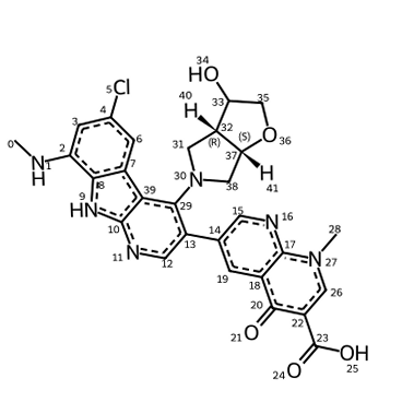 CNc1cc(Cl)cc2c1[nH]c1ncc(-c3cnc4c(c3)c(=O)c(C(=O)O)cn4C)c(N3C[C@@H]4C(O)CO[C@@H]4C3)c12